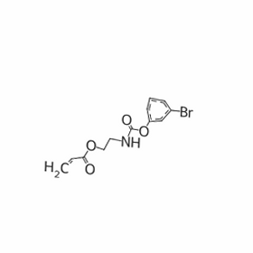 C=CC(=O)OCCNC(=O)Oc1cccc(Br)c1